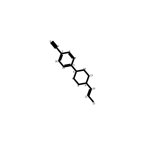 C#Cc1ccc(C2CCC(/C=C/C)CC2)cc1